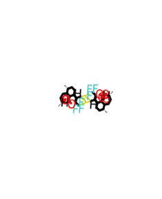 C[C@@H]1CC[C@H]2C(CSSCC3=C(C(F)(F)F)O[C@@H]4O[C@]5(C)CCC6[C@H](C)CC[C@@H]3[C@]64OO5)=C(C(F)(F)F)O[C@@H]3O[C@]4(C)CCC1[C@]32OO4